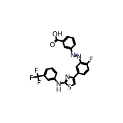 O=C(O)c1cccc(/N=N/c2cc(-c3csc(Nc4cccc(C(F)(F)F)c4)n3)ccc2F)c1